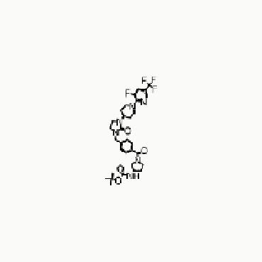 CC(C)(C)OC(=O)N[C@H]1CCN(C(=O)c2ccc(CN3CCN(C4CCN(c5ncc(C(F)(F)F)cc5F)CC4)C3=O)cc2)C1